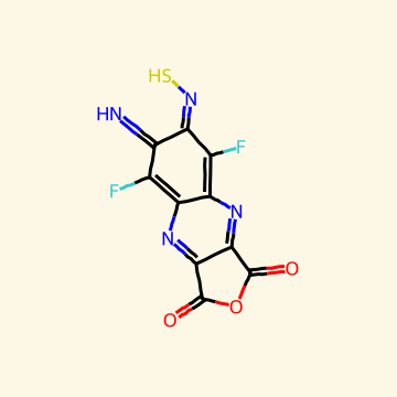 N=c1c(F)c2nc3c(=O)oc(=O)c3nc2c(F)/c1=N/S